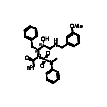 CCCC(=O)N([C@@H](Cc1ccccc1)[C@H](O)CNCc1cccc(OC)c1)S(=O)(=O)N(C)c1ccccc1